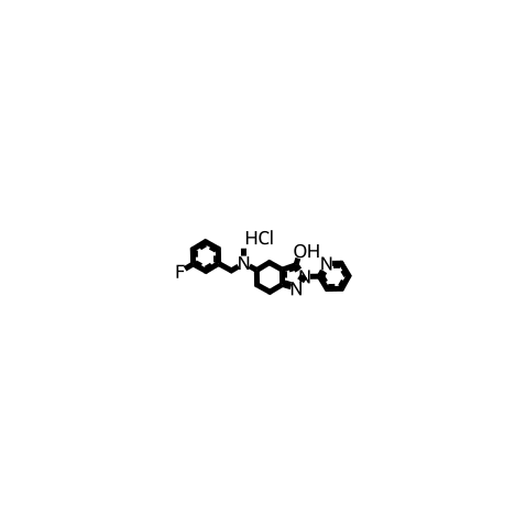 CN(Cc1cccc(F)c1)C1CCc2nn(-c3ccccn3)c(O)c2C1.Cl